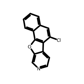 Clc1cc2ccccc2c2oc3cnccc3c12